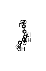 COC(=O)c1ccc(-c2ccc(-c3cc4cc(-c5cccc(CC(=O)O)c5)c(=O)[nH]c4cc3Cl)cc2)cc1F